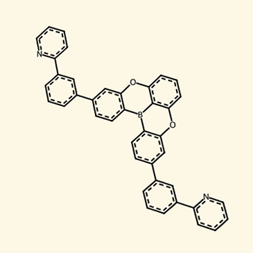 c1ccc(-c2cccc(-c3ccc4c(c3)Oc3cccc5c3B4c3ccc(-c4cccc(-c6ccccn6)c4)cc3O5)c2)nc1